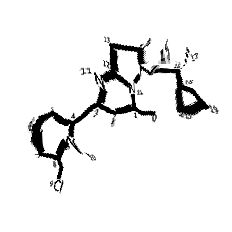 CC1=CC(c2cccc(Cl)n2)=NC2=CCN([C@H](C)C3CC3)N12